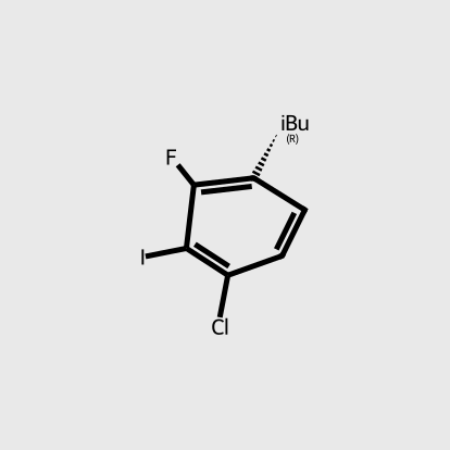 CC[C@@H](C)c1ccc(Cl)c(I)c1F